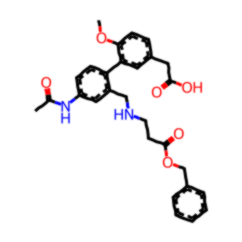 COc1ccc(CC(=O)O)cc1-c1ccc(NC(C)=O)cc1CNCCC(=O)OCc1ccccc1